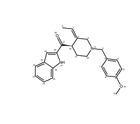 C/C=C1/CN(Cc2ccc(OC)cc2)CC[C@H]1C(=O)c1cc2ccccc2[nH]1